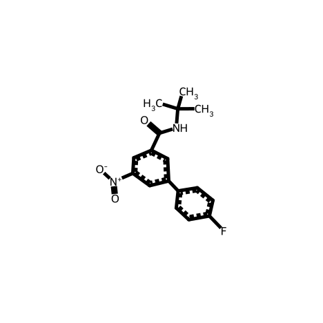 CC(C)(C)NC(=O)c1cc(-c2ccc(F)cc2)cc([N+](=O)[O-])c1